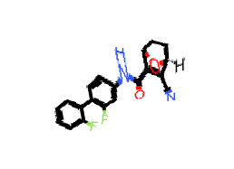 N#CC1=C(C(=O)Nc2ccc(-c3ccccc3F)c(F)c2)C2CC[C@@H]1O2